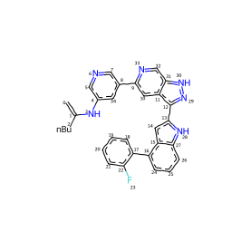 C=C(CCCC)Nc1cncc(-c2cc3c(-c4cc5c(-c6ccccc6F)cccc5[nH]4)n[nH]c3cn2)c1